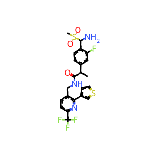 CC(C(=O)NCc1ccc(C(F)(F)F)nc1-c1ccsc1)c1ccc(C(N)S(C)(=O)=O)c(F)c1